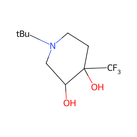 CC(C)(C)N1CCC(O)(C(F)(F)F)C(O)C1